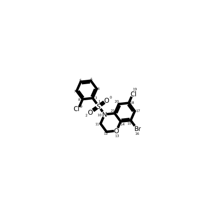 O=S(=O)(c1ccccc1Cl)N1CCOc2c(Br)cc(Cl)cc21